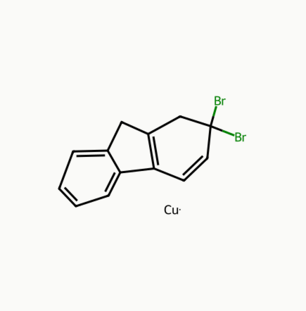 BrC1(Br)C=CC2=C(Cc3ccccc32)C1.[Cu]